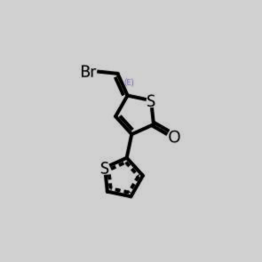 O=C1S/C(=C/Br)C=C1c1cccs1